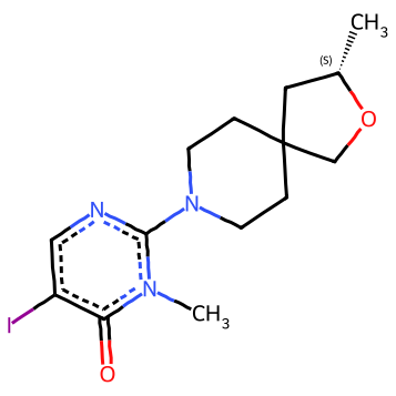 C[C@H]1CC2(CCN(c3ncc(I)c(=O)n3C)CC2)CO1